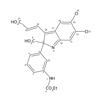 CCOC(=O)Nc1cccc(C2(C(=O)O)N=c3cc(Cl)c(Cl)cc3=C2C=CC(=O)O)c1